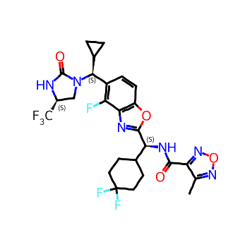 Cc1nonc1C(=O)N[C@H](c1nc2c(F)c([C@H](C3CC3)N3C[C@@H](C(F)(F)F)NC3=O)ccc2o1)C1CCC(F)(F)CC1